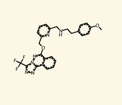 COc1ccc(CCNCc2cccc(COc3nn4c(C(F)(F)F)nnc4c4ccccc34)n2)cc1